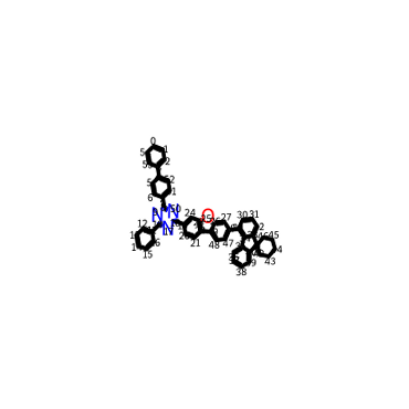 c1ccc(-c2ccc(-c3nc(-c4ccccc4)nc(-c4ccc5c(c4)oc4cc(-c6cccc7c6-c6ccccc6C76CCCCC6)ccc45)n3)cc2)cc1